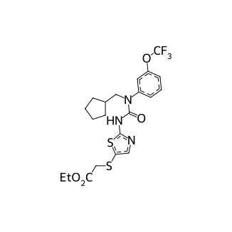 CCOC(=O)CSc1cnc(NC(=O)N(CC2CCCC2)c2cccc(OC(F)(F)F)c2)s1